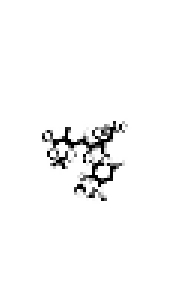 C=C[C@@](C)(OC)[C@H](O[C@@H]1O[C@H](C)CC(N(C)C)[C@H]1P=O)[C@@H](C)C1=C(C)C(=O)OC(C)(C)O1